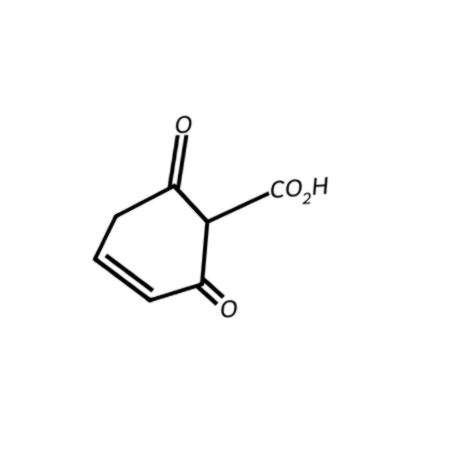 O=C(O)C1C(=O)C=CCC1=O